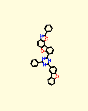 c1ccc(-c2nc(-c3ccc4oc5ccccc5c4c3)nc(-c3cccc4c3oc3ccc5nc(-c6ccccc6)oc5c34)n2)cc1